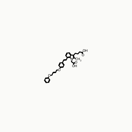 Cc1c(CCCC(=O)O)c2cccc(C=Cc3ccc(OCC=CCOc4ccccc4)cc3)c2n1CC(=O)O